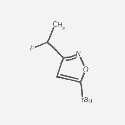 CC(F)c1cc(C(C)(C)C)on1